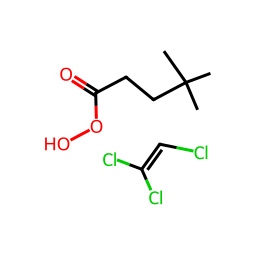 CC(C)(C)CCC(=O)OO.ClC=C(Cl)Cl